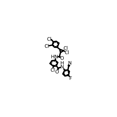 N#Cc1cc(F)ccc1NC(=O)c1cc(NC(=O)C2C(c3ccc(Cl)c(Cl)c3)C2(Cl)Cl)ccc1Cl